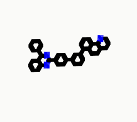 c1ccc(-c2nc(-c3ccc(-c4cccc(-c5cccc6c5ccc5cccnc56)c4)cc3)nc3ccccc23)cc1